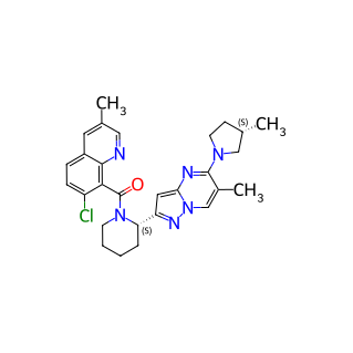 Cc1cnc2c(C(=O)N3CCCC[C@H]3c3cc4nc(N5CC[C@H](C)C5)c(C)cn4n3)c(Cl)ccc2c1